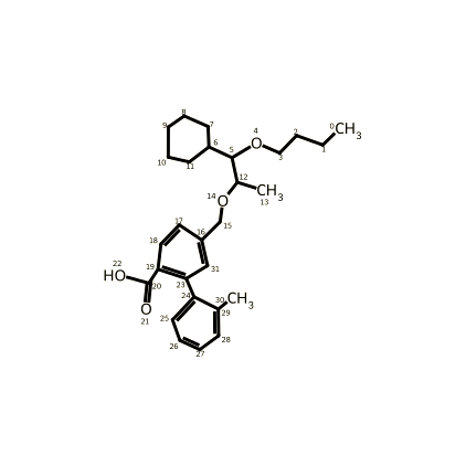 CCCCOC(C1CCCCC1)C(C)OCc1ccc(C(=O)O)c(-c2ccccc2C)c1